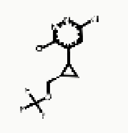 FC(F)(F)OC[C@@H]1CC1c1cc(Cl)nnc1Cl